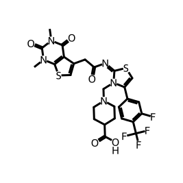 Cn1c(=O)c2c(CC(=O)N=c3scc(-c4ccc(C(F)(F)F)c(F)c4)n3CN3CCC(C(=O)O)CC3)csc2n(C)c1=O